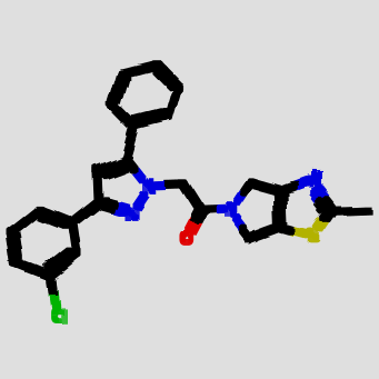 Cc1nc2c(s1)CN(C(=O)Cn1nc(-c3cccc(Cl)c3)cc1-c1ccccc1)C2